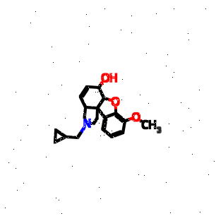 COc1cccc2c1OC1C(O)C=CC3CN(CC4CC4)CCC231